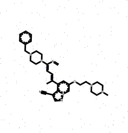 C=N/C(=C\C=C(/C)c1cc(OCCN2CCN(C)CC2)cn2ncc(C#N)c12)N1CCN(Cc2ccccc2)CC1